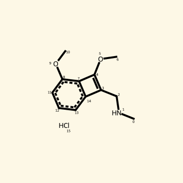 CNCC1=C(OC)c2c(OC)cccc21.Cl